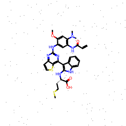 C=CC(=O)Nc1cc(Nc2nc(-c3c(N[C@@H](CCSC)C(=O)O)[nH]c4ccccc34)c3sccc3n2)c(OC)cc1N(C)C